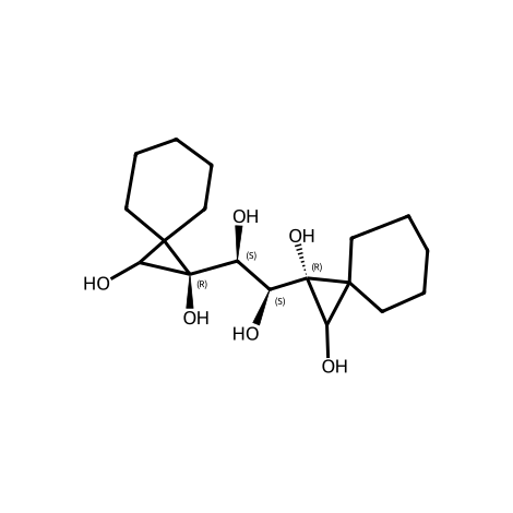 OC1C2(CCCCC2)[C@]1(O)[C@@H](O)[C@H](O)[C@]1(O)C(O)C12CCCCC2